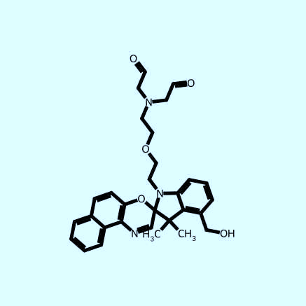 CC1(C)c2c(CO)cccc2N(CCOCCN(CC=O)CC=O)C12C=Nc1c(ccc3ccccc13)O2